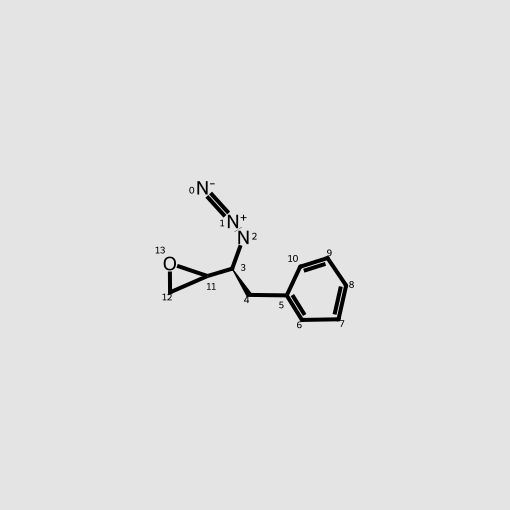 [N-]=[N+]=N[C@@H](Cc1ccccc1)C1CO1